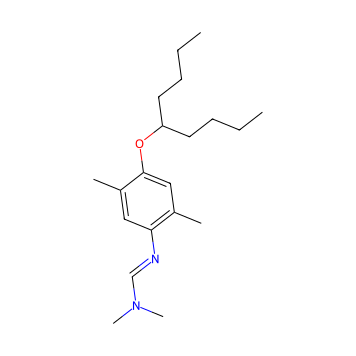 CCCCC(CCCC)Oc1cc(C)c(N=CN(C)C)cc1C